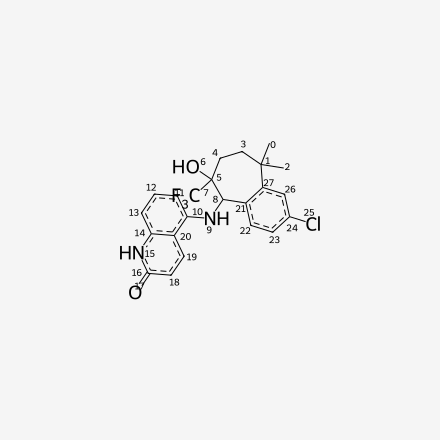 CC1(C)CCC(O)(C(F)(F)F)C(Nc2cccc3[nH]c(=O)ccc23)c2ccc(Cl)cc21